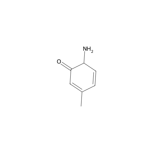 CC1=CC(=O)C(N)C=C1